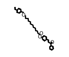 C=Cc1ccc(COCCCCCCCCCCCCC(=O)Oc2ccc(C=CC(=O)c3ccccc3)cc2)cc1